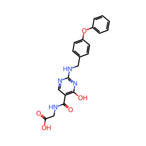 O=C(O)CNC(=O)c1cnc(NCc2ccc(Oc3ccccc3)cc2)nc1O